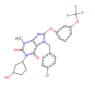 Cn1c(=O)n(C2CCC(O)C2)c(=O)c2c1nc(Oc1cccc(OC(F)(F)F)c1)n2Cc1ccc(Cl)cc1